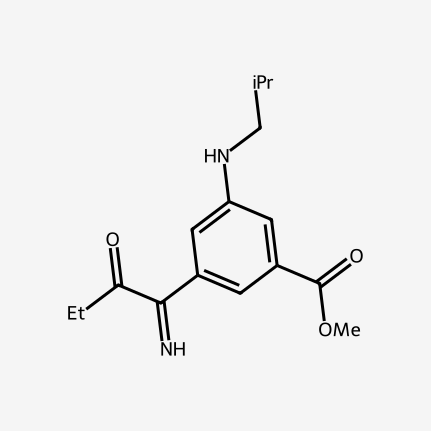 CCC(=O)C(=N)c1cc(NCC(C)C)cc(C(=O)OC)c1